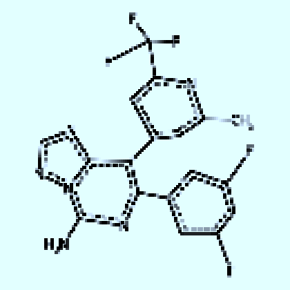 Cc1cc(-c2c(-c3cc(F)cc(F)c3)nc(N)n3ncnc23)cc(C(F)(F)F)n1